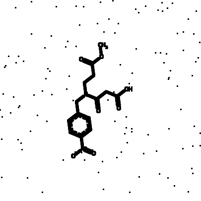 COC(=O)CCN(Cc1ccc([N+](=O)[O-])cc1)C(=O)CC(=O)O